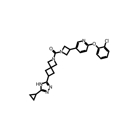 O=C(N1CC(c2ccc(Oc3ccccc3Cl)nc2)C1)N1CC2(CC(c3nnc(C4CC4)[nH]3)C2)C1